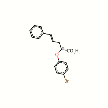 O=C(O)[C@@H](CC=Cc1ccccc1)Oc1ccc(Br)cc1